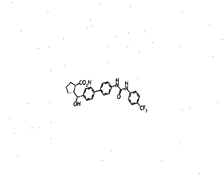 O=C(Nc1ccc(-c2ccc([C@@H](O)[C@@H]3CCC[C@H]3C(=O)O)cc2)cc1)Nc1ccc(C(F)(F)F)cc1